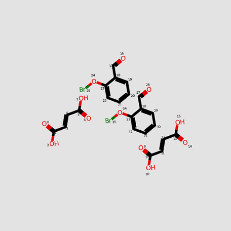 O=C(O)C=CC(=O)O.O=C(O)C=CC(=O)O.O=Cc1ccccc1OBr.O=Cc1ccccc1OBr